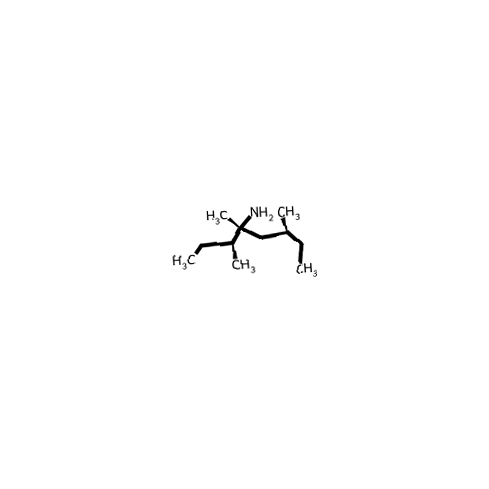 CC[C@H](C)C[C@@](C)(N)[C@@H](C)CC